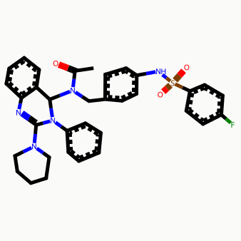 CC(=O)N(Cc1ccc(NS(=O)(=O)c2ccc(F)cc2)cc1)C1c2ccccc2N=C(N2CCCCC2)N1c1ccccc1